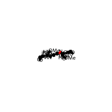 COC(=O)N[C@H](C(=O)N1C[C@H](OC(=O)N2Cc3ccc4c(c3C2)OCO4)C[C@H]1c1nc(-c2ccc(-c3ccc(-c4cnc([C@@H]5C[C@@H](OC(=O)N6Cc7ccc8c(c7C6)OCO8)CN5C(=O)[C@@H](NC(=O)OC)C(C)C)[nH]4)cc3)cc2)c[nH]1)C(C)C